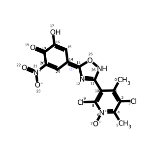 Cc1c(Cl)c(C)[n+]([O-])c(Cl)c1C1=N/C(=C2/C=C(O)C(=O)C([N+](=O)[O-])=C2)ON1